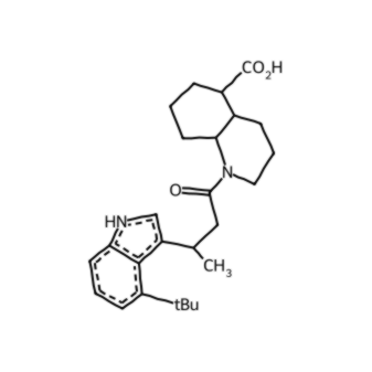 CC(CC(=O)N1CCCC2C(C(=O)O)CCCC21)c1c[nH]c2cccc(C(C)(C)C)c12